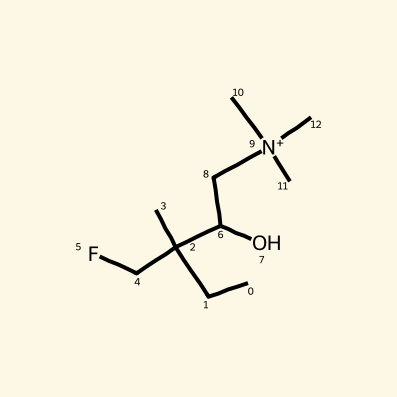 CCC(C)(CF)C(O)C[N+](C)(C)C